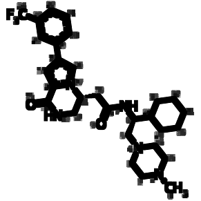 CN1CCN(C[C@@H](NC(=O)C[C@@H]2CNC(=O)c3cc(-c4cccc(C(F)(F)F)c4)cn32)C2CCCCC2)CC1